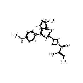 C/C=C(\C)C(=O)N1CC(c2nc(-c3ccc(OC(F)(F)F)cc3)c3ncn(C)c3n2)C1